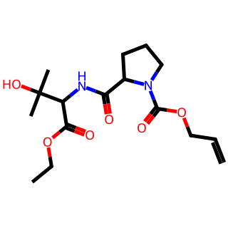 C=CCOC(=O)N1CCCC1C(=O)NC(C(=O)OCC)C(C)(C)O